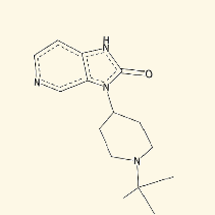 CC(C)(C)N1CCC(n2c(=O)[nH]c3ccncc32)CC1